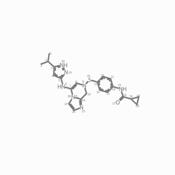 CC(C)c1cc(NC2=CN(Sc3ccc(NC(=O)C4CC4)cc3)CC3=NC=C[N+]23)n[nH]1